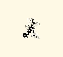 COCC(C)NC(=O)c1c(O)c2ncc(Cc3ccccc3F)cc2n(CCNC(C)=O)c1=O